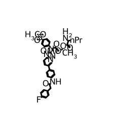 CCCC(N)C(=O)OC(C)OC(=O)N(c1nc2ccc(-c3ccc(NC(=O)Cc4ccc(F)cc4)cc3)cn2n1)c1ccc(S(C)(=O)=O)cc1OC